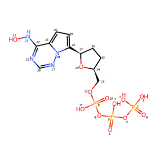 O=P(O)(O)OP(=O)(O)OP(=O)(O)OC[C@@H]1CC[C@H](c2ccc3c(NO)ncnn23)O1